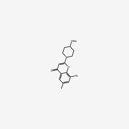 COC1CCN(c2cc(=O)c3cc(C)cc(C(C)=O)c3o2)CC1